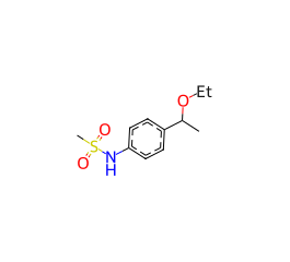 CCOC(C)c1ccc(NS(C)(=O)=O)cc1